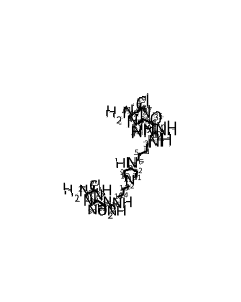 N=C(NCCCCNC1CCN(CCCCNC(=N)NC(=O)c2nc(Cl)c(N)nc2N)CC1)NC(=O)c1nc(Cl)c(N)nc1N